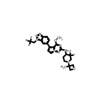 COc1nc(NC2CCN(C3(C)COC3)CC2(F)F)nn2ccc(-c3ccc4nnn(CC(F)(F)F)c4c3)c12